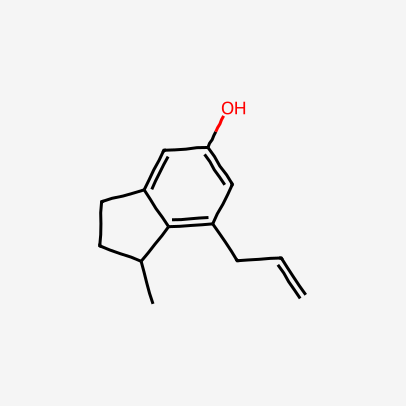 C=CCc1cc(O)cc2c1C(C)CC2